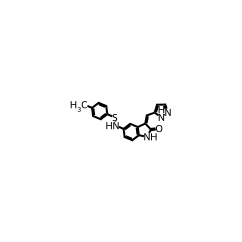 Cc1ccc(SNc2ccc3c(c2)/C(=C/c2ccn[nH]2)C(=O)N3)cc1